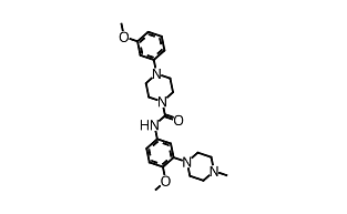 COc1cccc(N2CCN(C(=O)Nc3ccc(OC)c(N4CCN(C)CC4)c3)CC2)c1